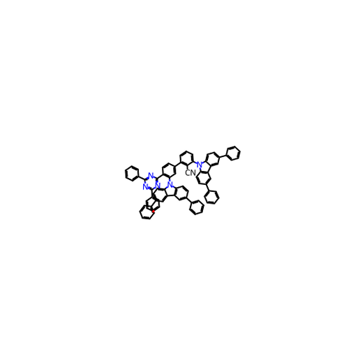 N#Cc1c(-c2ccc(-c3nc(-c4ccccc4)nc(-c4ccccc4)n3)c(-n3c4ccc(-c5ccccc5)cc4c4cc(-c5ccccc5)ccc43)c2)cccc1-n1c2ccc(-c3ccccc3)cc2c2cc(-c3ccccc3)ccc21